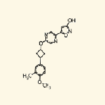 Cc1cc(C2CC(Oc3cnc(-c4cc(O)no4)cn3)C2)ccc1OC(F)(F)F